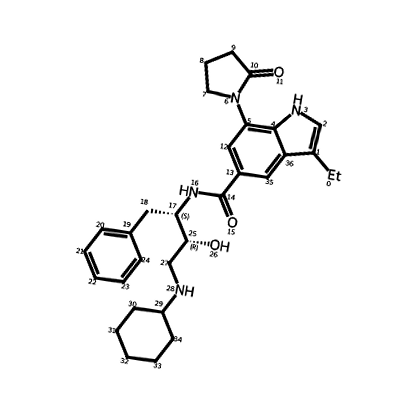 CCc1c[nH]c2c(N3CCCC3=O)cc(C(=O)N[C@@H](Cc3ccccc3)[C@H](O)CNC3CCCCC3)cc12